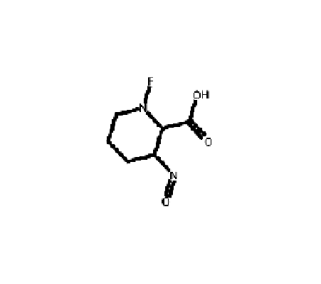 O=NC1CCCN(F)C1C(=O)O